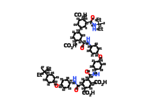 CCC(C)(CC)NC(=O)c1cc(-c2ccc(C(=O)O)c(C(=O)Nc3ccc(Oc4ccc(NC(=O)c5cc(C(=O)Nc6ccc(Oc7ccc(C(C)(CC)CC)cc7)cc6)c(C(=O)O)cc5C(=O)O)cc4)cc3)c2)ccc1C(=O)O